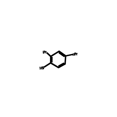 CCCc1ccc(S)c(C(C)C)c1